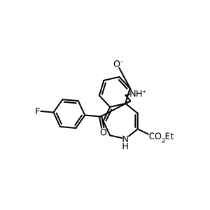 CCOC(=O)C1=CC23C(=CCN1)C=CC=C2[NH+]([O-])CC3C(=O)c1ccc(F)cc1